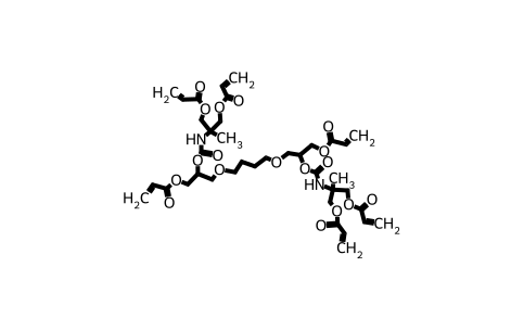 C=CC(=O)OCC(COCCCCOCC(COC(=O)C=C)OC(=O)NC(C)(COC(=O)C=C)COC(=O)C=C)OC(=O)NC(C)(COC(=O)C=C)COC(=O)C=C